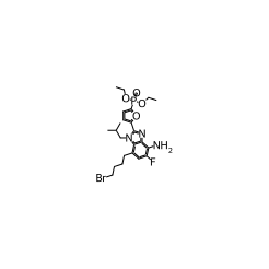 CCOP(=O)(OCC)c1ccc(-c2nc3c(N)c(F)cc(CCCCBr)c3n2CC(C)C)o1